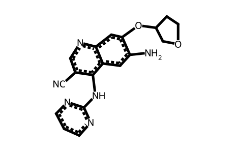 N#Cc1cnc2cc(OC3CCOC3)c(N)cc2c1Nc1ncccn1